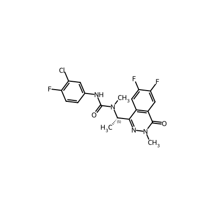 C[C@@H](c1nn(C)c(=O)c2cc(F)c(F)cc12)N(C)C(=O)Nc1ccc(F)c(Cl)c1